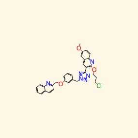 COc1ccc2nc(OCCCCl)c(-c3nnn(Cc4cccc(OCc5ccc6ccccc6n5)c4)n3)cc2c1